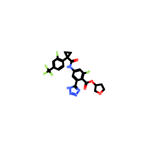 O=C(OC1CCOC1)c1c(F)cc(NC(=O)C2(c3ccc(C(F)(F)F)cc3F)CC2)cc1-c1nnn[nH]1